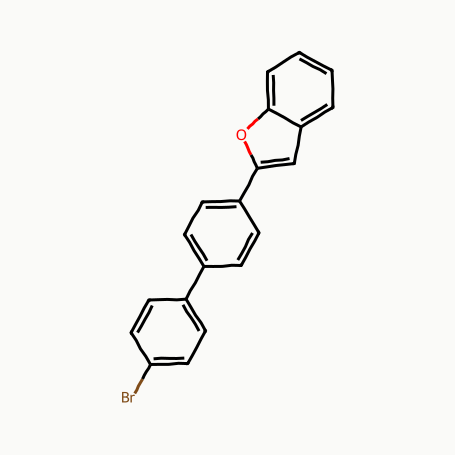 Brc1ccc(-c2ccc(-c3cc4ccccc4o3)cc2)cc1